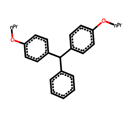 CCCOc1ccc([C](c2ccccc2)c2ccc(OCCC)cc2)cc1